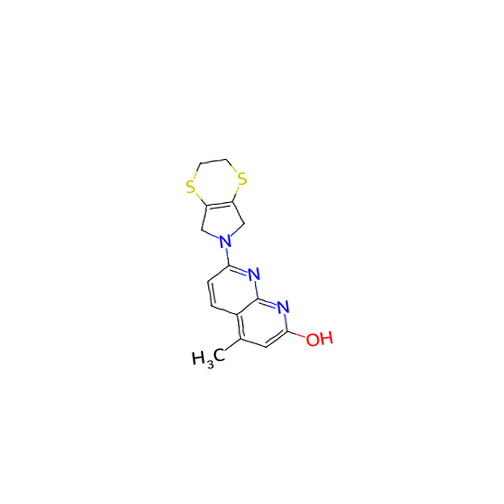 Cc1cc(O)nc2nc(N3CC4=C(C3)SCCS4)ccc12